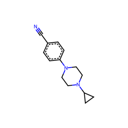 N#Cc1ccc(N2CCN(C3CC3)CC2)cc1